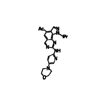 CC(=O)c1cc2cnc(Nc3ccc(N4CCOCC4)cn3)nc2c2c1cnn2C(C)C